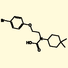 CC1(C)CCC(N(CCOc2ccc(Br)cc2)C(=O)O)CC1